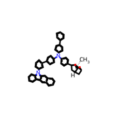 C[C@H]1CC2C[C@H]3CC(c4ccc(N(c5ccc(-c6ccccc6)cc5)c5ccc(-c6cccc(-n7c8ccccc8c8cc9ccccc9cc87)c6)cc5)cc4)(CC23)C1